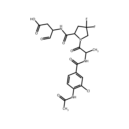 CC(=O)Nc1ccc(C(=O)NC(C)C(=O)N2CC(F)(F)CC2C(=O)NC(C=O)CC(=O)O)cc1Cl